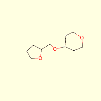 C1COC(COC2CCOCC2)C1